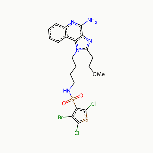 COCCc1nc2c(N)nc3ccccc3c2n1CCCCNS(=O)(=O)c1c(Cl)sc(Cl)c1Br